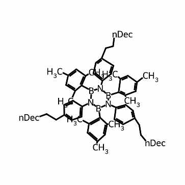 CCCCCCCCCCCCc1ccc(N2B(c3c(C)cc(C)cc3C)N(c3ccc(CCCCCCCCCCCC)cc3)B(c3c(C)cc(C)cc3C)N(c3ccc(CCCCCCCCCCCC)cc3)B2c2c(C)cc(C)cc2C)cc1